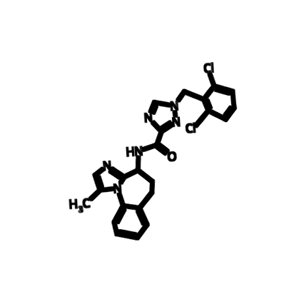 Cc1cnc2n1-c1ccccc1CCC2NC(=O)c1ncn(Cc2c(Cl)cccc2Cl)n1